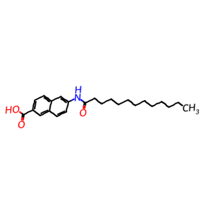 CCCCCCCCCCCCC(=O)Nc1ccc2cc(C(=O)O)ccc2c1